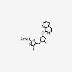 CC(=O)Nc1nc(F)c(CN2CC(Oc3nccc4nccnc34)CC2C)s1